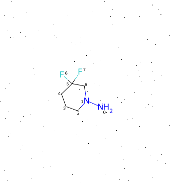 NN1CCCC(F)(F)C1